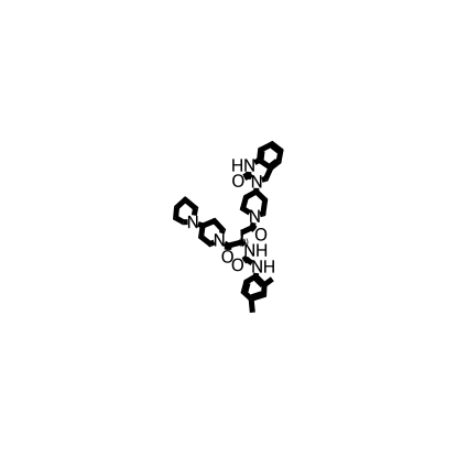 Cc1ccc(NC(=O)N[C@H](CC(=O)N2CCC(N3Cc4ccccc4NC3=O)CC2)C(=O)N2CCC(N3CCCCC3)CC2)c(C)c1